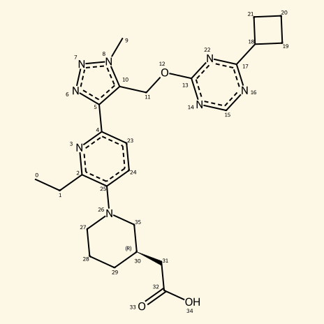 CCc1nc(-c2nnn(C)c2COc2ncnc(C3CCC3)n2)ccc1N1CCC[C@H](CC(=O)O)C1